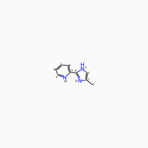 Cc1c[nH]c(-c2ccccn2)n1